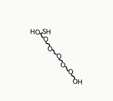 OCCOCCOCCOCCOCCOCC(O)S